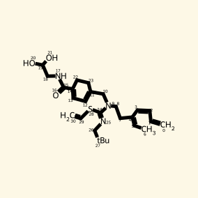 C=C/C=C\C(=C/C)CCN(CC1=CC=C(C(=O)NCC(O)O)CC1)/C(=N/CC(C)(C)C)SC=C